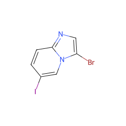 Brc1cnc2ccc(I)cn12